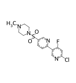 CN1CCN(S(=O)(=O)c2ccc(-c3cnc(Cl)cc3F)nc2)CC1